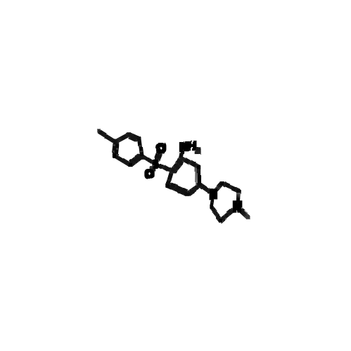 Cc1ccc(S(=O)(=O)c2ccc(N3CCN(C)CC3)cc2N)cc1